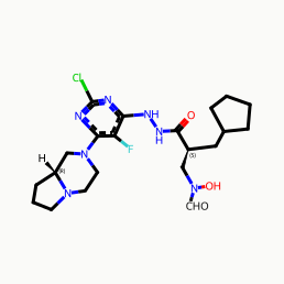 O=CN(O)C[C@H](CC1CCCC1)C(=O)NNc1nc(Cl)nc(N2CCN3CCC[C@@H]3C2)c1F